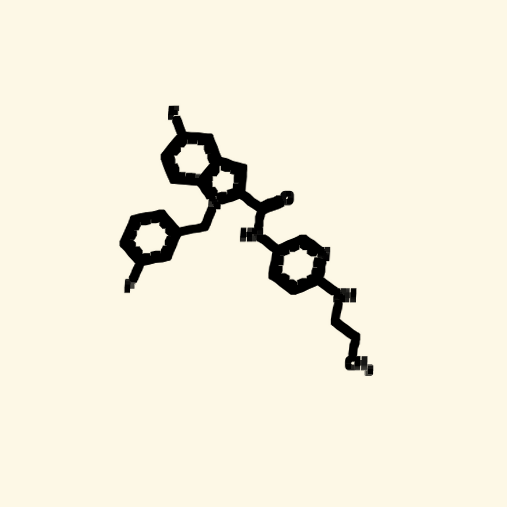 CCCNc1ccc(NC(=O)c2cc3cc(F)ccc3n2Cc2cccc(F)c2)cn1